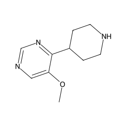 COc1cncnc1C1CCNCC1